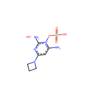 Nc1cc(N2CCC2)nc(N)[n+]1OS(=O)(=O)O.[OH-]